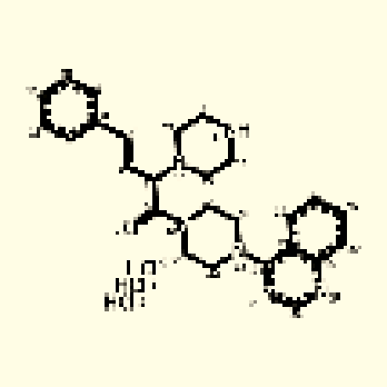 Cl.Cl.Cl.O=C(C(C=Cc1ccccc1)N1CCNCC1)N1CCN(c2ncnc3ccccc23)CC1